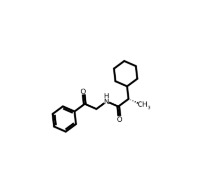 C[C@H](C(=O)NCC(=O)c1ccccc1)C1CCCCC1